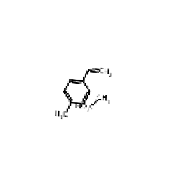 C=Cc1ccc(C)cc1.CC(=O)O